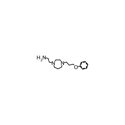 NCCN1CCCN(CCCOc2ccccc2)CC1